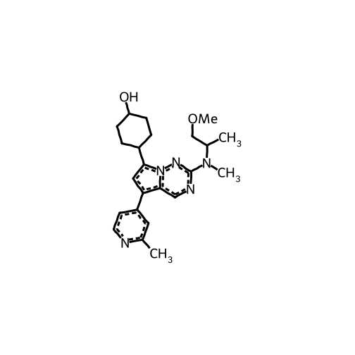 COCC(C)N(C)c1ncc2c(-c3ccnc(C)c3)cc(C3CCC(O)CC3)n2n1